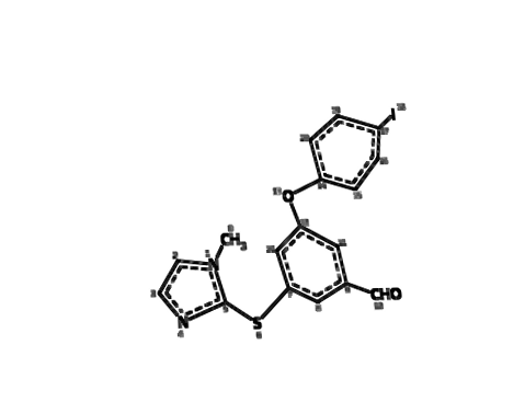 Cn1ccnc1Sc1cc(C=O)cc(Oc2ccc(I)cc2)c1